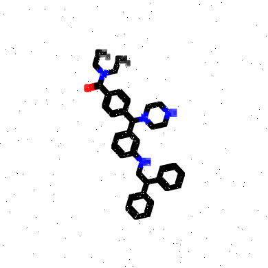 CCN(CC)C(=O)c1ccc(C(c2cccc(NCC(c3ccccc3)c3ccccc3)c2)N2CCNCC2)cc1